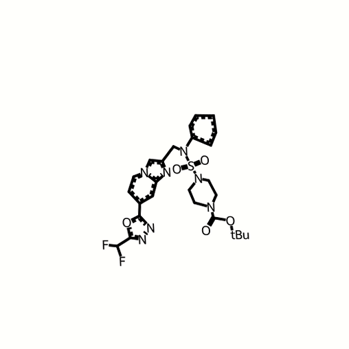 CC(C)(C)OC(=O)N1CCN(S(=O)(=O)N(Cc2cn3ccc(-c4nnc(C(F)F)o4)cc3n2)c2ccccc2)CC1